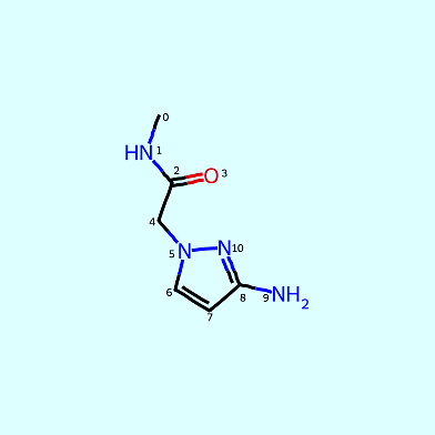 CNC(=O)Cn1ccc(N)n1